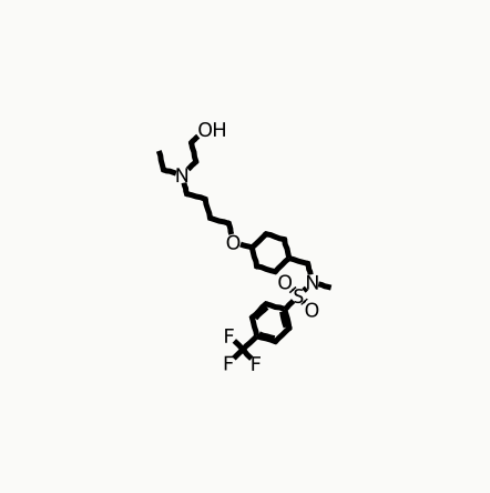 CCN(CCO)CCCCOC1CCC(CN(C)S(=O)(=O)c2ccc(C(F)(F)F)cc2)CC1